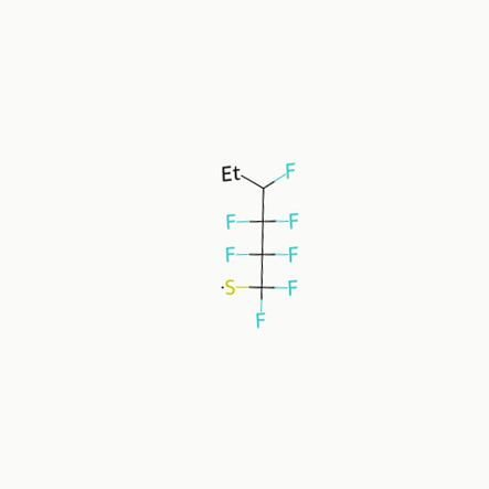 CCC(F)C(F)(F)C(F)(F)C(F)(F)[S]